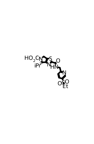 CCS(=O)(=O)c1ccc(CNC(=O)c2nc3c(s2)CN(C(=O)O)[C@H]3C(C)C)nc1